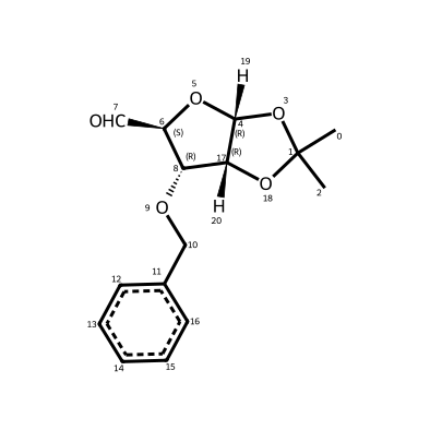 CC1(C)O[C@H]2O[C@H](C=O)[C@@H](OCc3ccccc3)[C@H]2O1